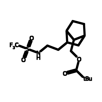 CC(C)(C)C(=O)OCC1C2CCC1C(CCNS(=O)(=O)C(F)(F)F)C2